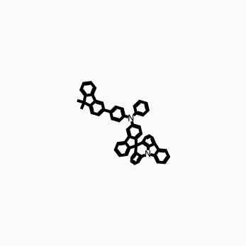 CC1(C)c2ccccc2-c2cc(-c3ccc(N(c4ccccc4)c4ccc5c(c4)-c4ccccc4C54c5ccccc5-n5c6ccccc6c6cccc4c65)cc3)ccc21